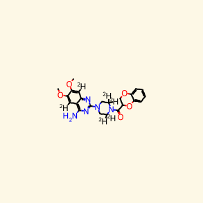 [2H]c1c(OC)c(OC)c([2H])c2c(N)nc(N3CC([2H])([2H])N(C(=O)C4COc5ccccc5O4)C([2H])([2H])C3)nc12